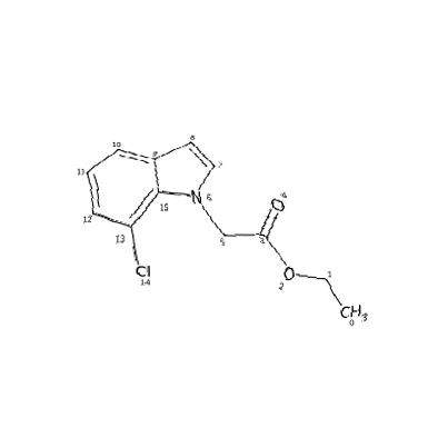 CCOC(=O)Cn1ccc2cccc(Cl)c21